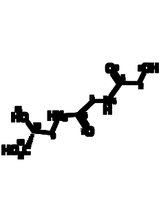 O=C(CO)NCC(=O)NC[C@@H](O)C(=O)O